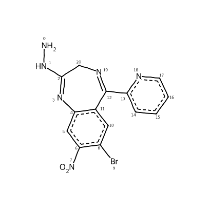 NNC1=Nc2cc([N+](=O)[O-])c(Br)cc2C(c2ccccn2)=NC1